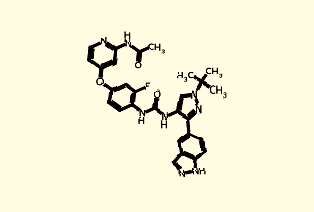 CC(=O)Nc1cc(Oc2ccc(NC(=O)Nc3cn(C(C)(C)C)nc3-c3ccc4[nH]ncc4c3)c(F)c2)ccn1